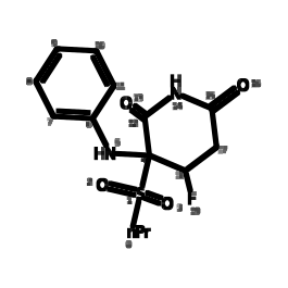 CCCS(=O)(=O)C1(Nc2ccccc2)C(=O)NC(=O)CC1F